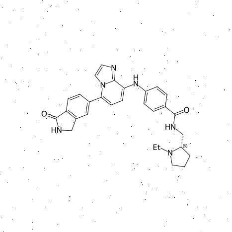 CCN1CCC[C@H]1CNC(=O)c1ccc(Nc2ccc(-c3ccc4c(c3)CNC4=O)n3ccnc23)cc1